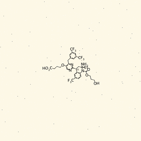 CC[C@]1(N)C[C@H](c2ncc(OCCCC(=O)O)c(Cc3cc(C(F)(F)F)cc(C(F)(F)F)c3)n2)c2cc(C(F)(F)F)ccc2N1C(=O)OCCCO